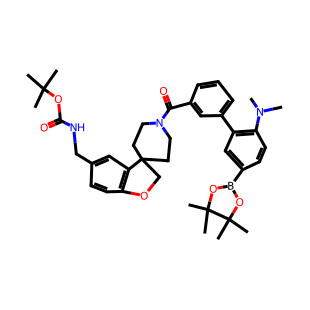 CN(C)c1ccc(B2OC(C)(C)C(C)(C)O2)cc1-c1cccc(C(=O)N2CCC3(CC2)COc2ccc(CNC(=O)OC(C)(C)C)cc23)c1